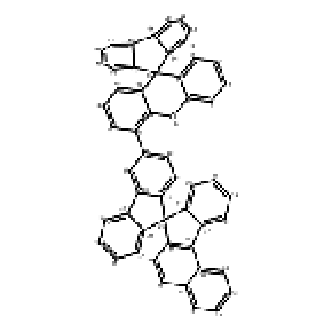 c1ccc2c(c1)Oc1c(-c3ccc4c(c3)-c3ccccc3C43c4ccccc4-c4c3ccc3ccccc43)cccc1C21c2ccccc2-c2ccccc21